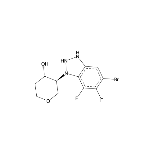 O[C@H]1CCOC[C@@H]1N1NNc2cc(Br)c(F)c(F)c21